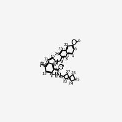 COc1ccc2cc(Cn3ccc4c(F)ccc(C(=O)NC5CC6(CCC6)C5)c43)ccc2c1